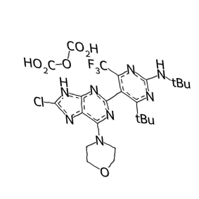 CC(C)(C)Nc1nc(C(C)(C)C)c(-c2nc(N3CCOCC3)c3nc(Cl)[nH]c3n2)c(C(F)(F)F)n1.O=C(O)OC(=O)O